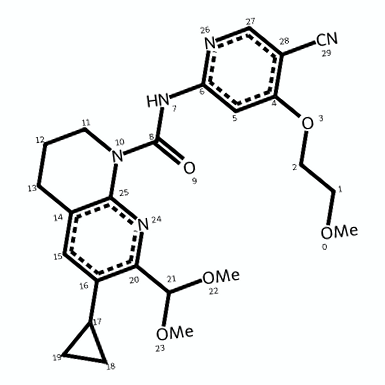 COCCOc1cc(NC(=O)N2CCCc3cc(C4CC4)c(C(OC)OC)nc32)ncc1C#N